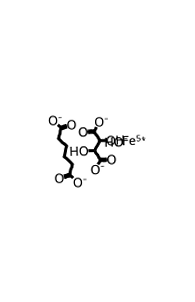 O=C([O-])C(O)C(O)C(=O)[O-].O=C([O-])CCCCC(=O)[O-].[Fe+5].[OH-]